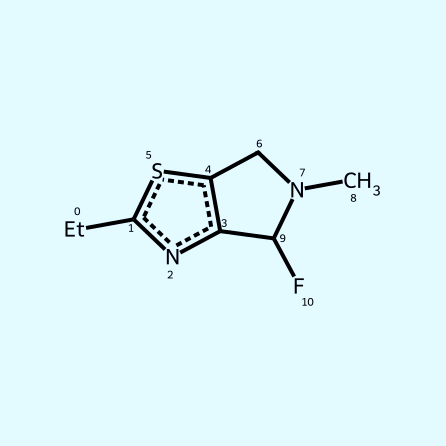 CCc1nc2c(s1)CN(C)C2F